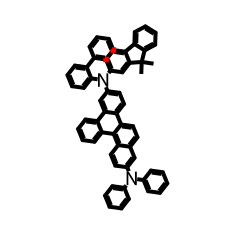 CC1(C)c2ccccc2-c2ccc(N(c3ccc4c(c3)c3ccccc3c3c5ccc(N(c6ccccc6)c6ccccc6)cc5ccc43)c3ccccc3-c3ccccc3)cc21